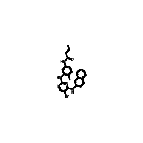 C/C=C/C(=O)Nc1ccc(C)c(Nc2ncc(Br)c(Nc3ccc4ccccc4c3)n2)c1